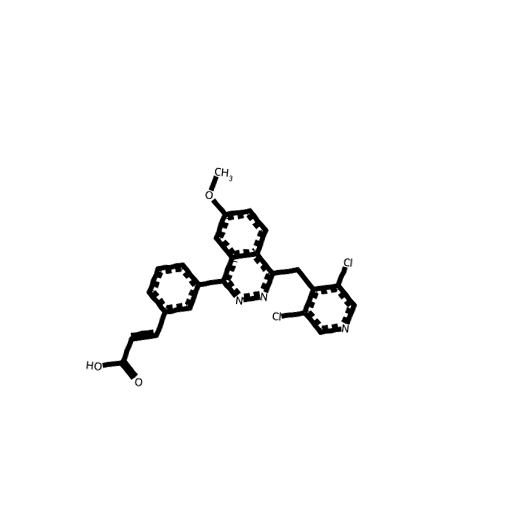 COc1ccc2c(Cc3c(Cl)cncc3Cl)nnc(-c3cccc(C=CC(=O)O)c3)c2c1